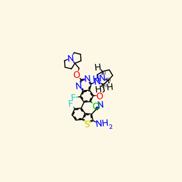 N#Cc1c(N)sc2ccc(F)c(-c3c(Cl)c4c5c(nc(OCC67CCCN6CCC7)nc5c3F)N3C[C@@H]5CC[C@@H](N5)[C@@H]3CO4)c12